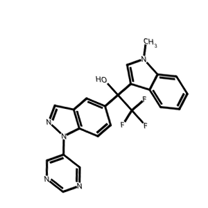 Cn1cc(C(O)(c2ccc3c(cnn3-c3cncnc3)c2)C(F)(F)F)c2ccccc21